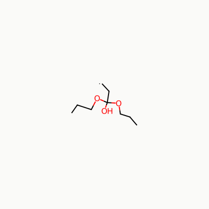 [CH2]CC(O)(OCCC)OCCC